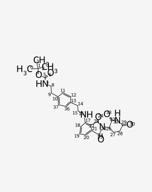 CC(C)(C)OC(=O)NCCc1ccc(CCNc2cccc3c2C(=O)N(C2CCC(=O)NC2=O)C3=O)cc1